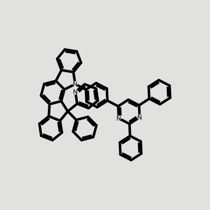 c1ccc(-c2cc(-c3ccc(-n4c5ccccc5c5ccc6c(c54)C(c4ccccc4)(c4ccccn4)c4ccccc4-6)cc3)nc(-c3ccccc3)n2)cc1